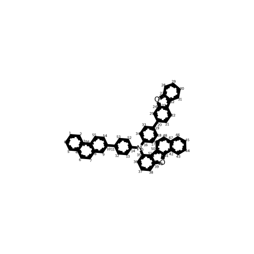 c1ccc2c(c1)ccc1cc(-c3ccc(N(c4ccc(-c5ccc6c(c5)oc5ccccc56)cc4)c4cccc5oc6c7ccccc7ccc6c45)cc3)ccc12